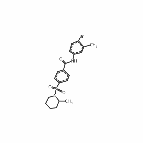 Cc1cc(NC(=O)c2ccc(S(=O)(=O)N3CCCCC3C)cc2)ccc1Br